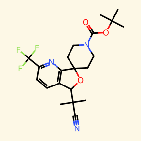 CC(C)(C)OC(=O)N1CCC2(CC1)OC(C(C)(C)C#N)c1ccc(C(F)(F)F)nc12